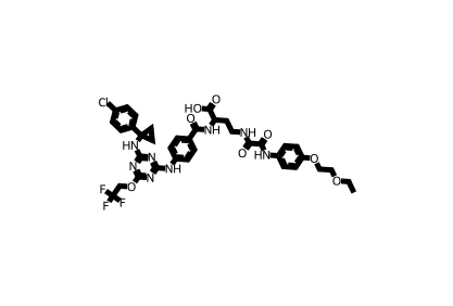 CCOCCOc1ccc(NC(=O)C(=O)NCCC(NC(=O)c2ccc(Nc3nc(NC4(c5ccc(Cl)cc5)CC4)nc(OCC(F)(F)F)n3)cc2)C(=O)O)cc1